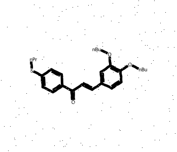 CCCCOc1ccc(C=CC(=O)c2ccc(SCCC)cc2)cc1OCCCC